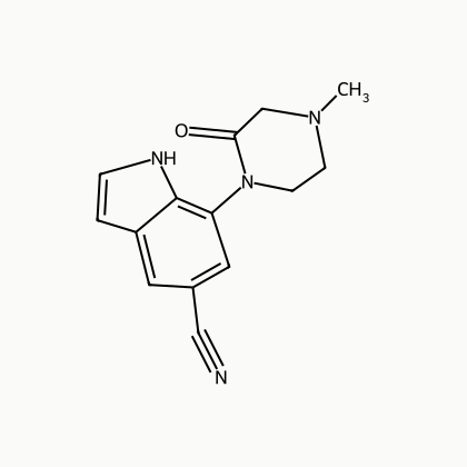 CN1CCN(c2cc(C#N)cc3cc[nH]c23)C(=O)C1